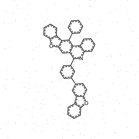 c1ccc(-c2c3c(cc4c(-c5cccc(-c6ccc7oc8ccccc8c7c6)c5)nc5ccccc5c24)oc2ccccc23)cc1